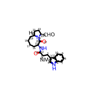 CN[C@@H](Cc1c[nH]c2ccccc12)C(=O)N[C@H]1CCCC[C@H]2CC[C@@H](C=O)N2C1=O